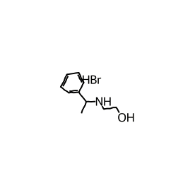 Br.CC(NCCO)c1ccccc1